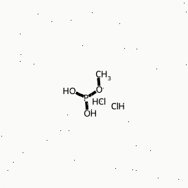 COP(O)O.Cl.Cl